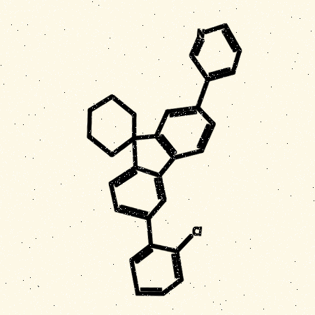 Clc1ccccc1-c1ccc2c(c1)-c1ccc(-c3cccnc3)cc1C21CCCCC1